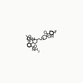 CC1=CN(c2cccc(C(N)=O)c2C2CCC(CCN3CCC(O)(C(=O)c4ccc(F)cc4)CC3)CC2)NO1